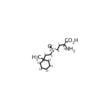 CC1(CC[S+]([O-])CC[C@H](N)C(=O)O)CCCCC1